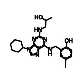 CC(O)CNc1nc(NCc2cc(I)ccc2O)c2ncn(C3CCCCC3)c2n1